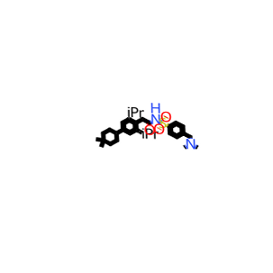 CC(C)c1cc(C2CCC(C)(C)CC2)cc(C(C)C)c1CC(=O)NS(=O)(=O)c1ccc(CN(C)C)cc1